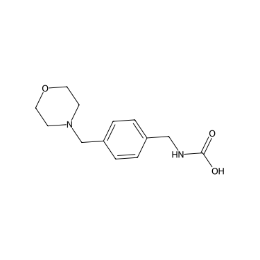 O=C(O)NCc1ccc(CN2CCOCC2)cc1